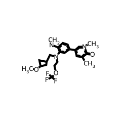 C=Nc1ccc(-c2cc(C)c(=O)n(C)c2)cc1N(CCOC(F)(F)F)CC1CC(OC)C1